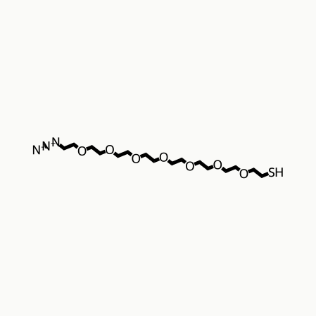 [N-]=[N+]=NCCOCCOCCOCCOCCOCCOCCOCCS